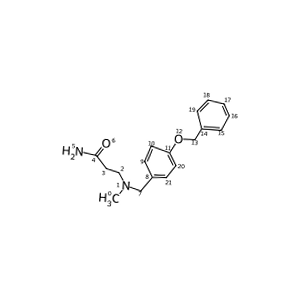 CN(CCC(N)=O)Cc1ccc(OCc2ccccc2)cc1